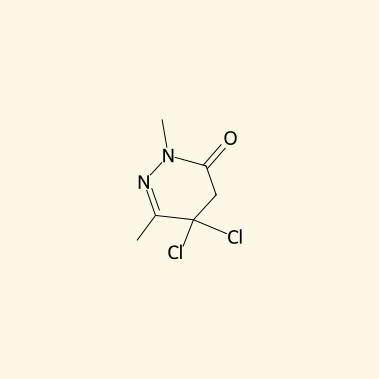 CC1=NN(C)C(=O)CC1(Cl)Cl